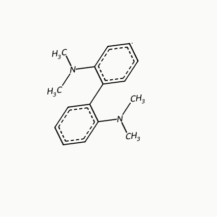 CN(C)c1c[c]ccc1-c1ccccc1N(C)C